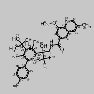 COc1cc(C(=O)NC[C@](O)(c2nc(-c3ccc(F)cc3)c(F)c(C(C)(C)O)c2F)C(F)(F)F)cc2cc(C)cnc12